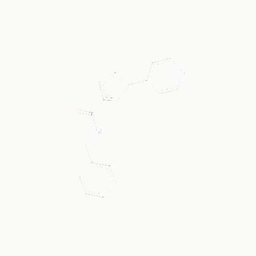 O=C(NCc1ccccc1F)c1ccc(-c2ccncc2)s1